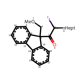 CCCCCCCC(I)C(=O)C1(COC)c2ccccc2-c2ccccc21